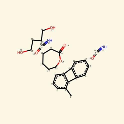 Cc1cccc2c1-c1ccccc1-2.N=C=O.N=C=O.O=C1CCCCCO1.OCCCCO